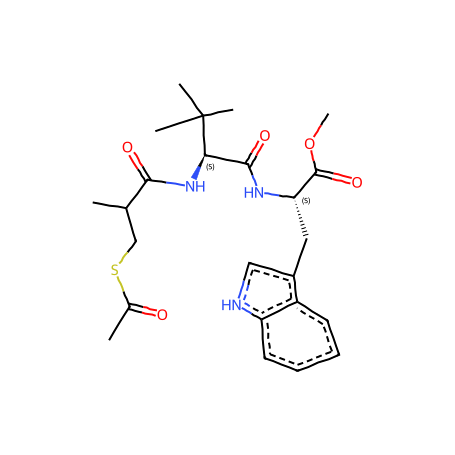 COC(=O)[C@H](Cc1c[nH]c2ccccc12)NC(=O)[C@@H](NC(=O)C(C)CSC(C)=O)C(C)(C)C